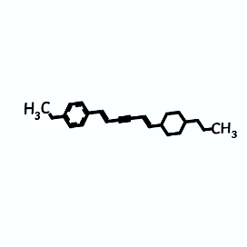 CCCC1CCC(C=CC#CC=Cc2ccc(CC)cc2)CC1